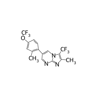 Cc1cc(OC(F)(F)F)ccc1-c1cnc2nc(C)c(C(F)(F)F)n2c1